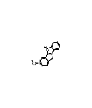 COc1ccc2c(c1)-c1c(c3ccccc3n1C)C2